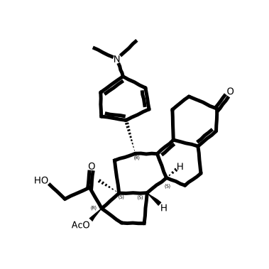 CC(=O)O[C@]1(C(=O)CO)CC[C@H]2[C@@H]3CCC4=CC(=O)CCC4=C3[C@@H](c3ccc(N(C)C)cc3)C[C@@]21C